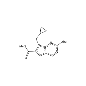 COC(=O)c1cc2ccc(C(C)(C)C)nc2n1CC1CC1